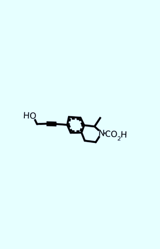 CC1c2ccc(C#CCO)cc2CCN1C(=O)O